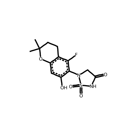 CC1(C)CCc2c(cc(O)c(N3CC(=O)NS3(=O)=O)c2F)O1